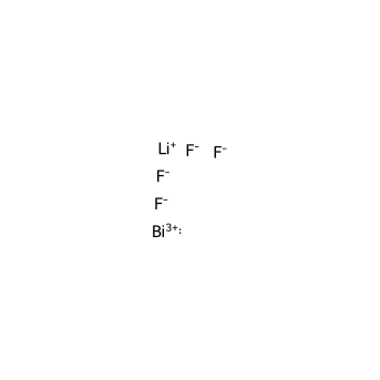 [Bi+3].[F-].[F-].[F-].[F-].[Li+]